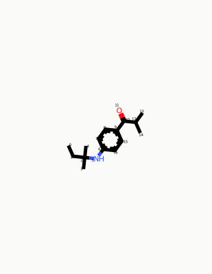 CCC(C)(C)Nc1ccc(C(=O)C(C)C)cc1